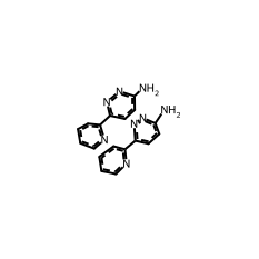 Nc1ccc(-c2ccccn2)nn1.Nc1ccc(-c2ccccn2)nn1